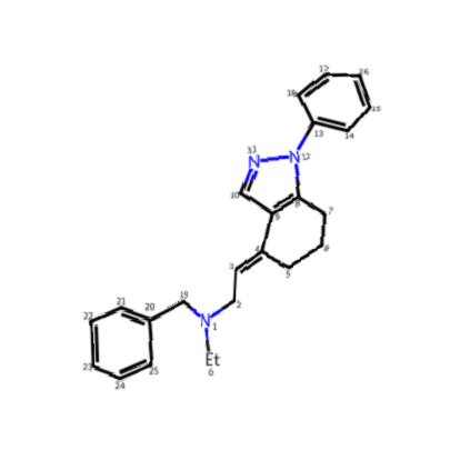 CCN(CC=C1CCCc2c1cnn2-c1ccccc1)Cc1ccccc1